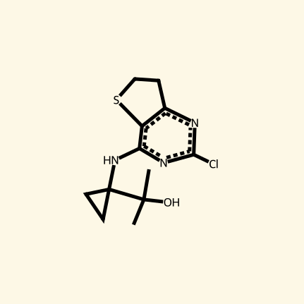 CC(C)(O)C1(Nc2nc(Cl)nc3c2SCC3)CC1